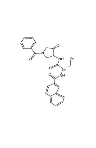 CC(C)C[C@H](NC(=O)c1ccc2ccccc2c1)C(=O)NC1CN(C(=O)c2ccccc2)CC1=O